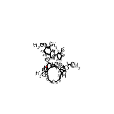 CCOC(=O)[C@@]12C[C@H]1/C=C\CCCCN(C)C(=O)[C@@H]1C[C@H](Oc3nc(-c4cccc(F)c4)nc4c(C)c(OC)ccc34)C[C@H]1C(=O)N2